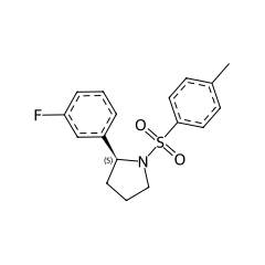 Cc1ccc(S(=O)(=O)N2CCC[C@H]2c2cccc(F)c2)cc1